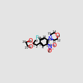 CC1(Cc2cc([N+](=O)[O-])c(N3CCOCC3)cc2F)OCCO1